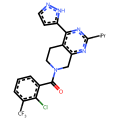 CC(C)c1nc2c(c(-c3ccn[nH]3)n1)CCN(C(=O)c1cccc(C(F)(F)F)c1Cl)C2